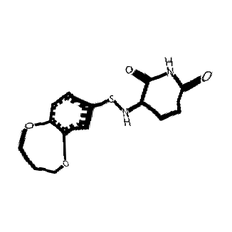 O=C1CCC(NSc2ccc3c(c2)OCCCO3)C(=O)N1